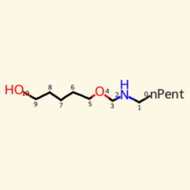 CCCCCCNCOCCCCCO